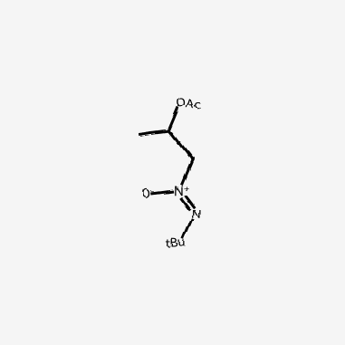 CC(=O)OC(C)C/[N+]([O-])=N/C(C)(C)C